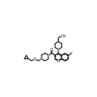 N#CCC1CCN(c2c(C(=O)N3CCN(COCC4CC4)CC3)cnc3ccc(F)cc23)CC1